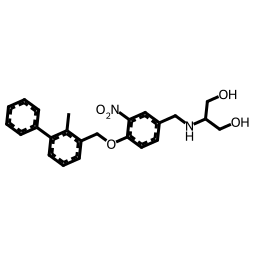 Cc1c(COc2ccc(CNC(CO)CO)cc2[N+](=O)[O-])cccc1-c1ccccc1